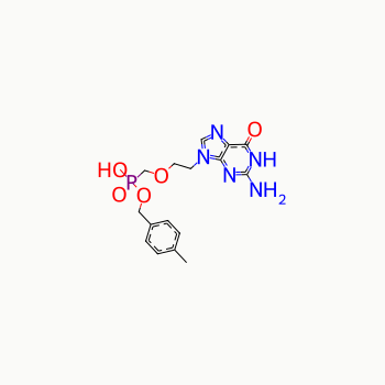 Cc1ccc(COP(=O)(O)COCCn2cnc3c(=O)[nH]c(N)nc32)cc1